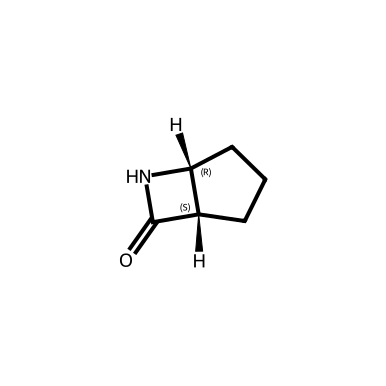 O=C1N[C@@H]2CCC[C@H]12